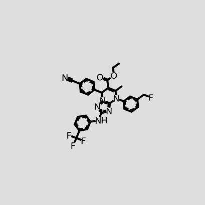 CCOC(=O)C1=C(C)N(c2cccc(CF)c2)c2nc(Nc3cccc(C(F)(F)F)c3)nn2C1c1ccc(C#N)cc1